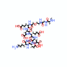 CN[C@@H](C)C(=O)NCC(=O)NCCOCC(=O)N[C@H](CCCC(=O)O)C(=O)N[C@H](CCC(=O)O)C(=O)N[C@H](CCCC(=O)O)C(=O)N[C@H](CCC(=O)O)C(=O)N[C@H](CCC(=O)O)C(=O)N[C@H](CCCCN)C(N)=O